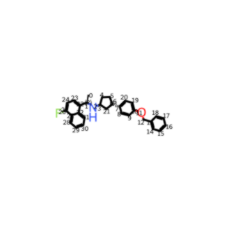 C[C@@H](NC1CC[C@H](c2ccc(OCc3ccccc3)cc2)C1)c1ccc(F)c2ccccc12